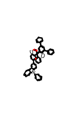 c1ccc(-c2cc(-c3ccccc3)c3c(c2)C2(c4ccccc4Oc4ccc(-c5ccc6c(c5)c5ccccc5n6-c5ccccc5)cc42)c2ccccc2O3)cc1